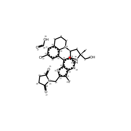 C[C@]1(CO)C[C@H](N2CCCc3cc(Cl)cc(-c4ccnc5c(F)c(CN6C(=O)CCC6=O)sc45)c32)CN1.O=CO